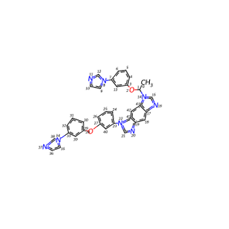 CC(Oc1cccc(-n2ccnc2)c1)n1cnc2cc3ncn(-c4cccc(Oc5cccc(-n6ccnc6)c5)c4)c3cc21